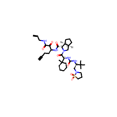 C#CCCC(NC(=O)[C@@H]1[C@H]2CCC[C@H]2CN1C(=O)[C@@H](NC(=O)N[C@H](CN1CCCS1(=O)=O)C(C)(C)C)C1(C)CCCCC1)C(=O)C(=O)NCC=C